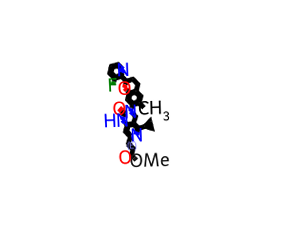 COC(=O)/C=C/c1cc2c(c(C3CC3)n1)CN(c1cc3c(cc1C)CCC(c1ncccc1F)O3)C(=O)N2